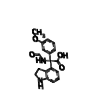 COc1cccc(C(NC=O)(C(=O)O)c2cccc3c2CCN3)c1